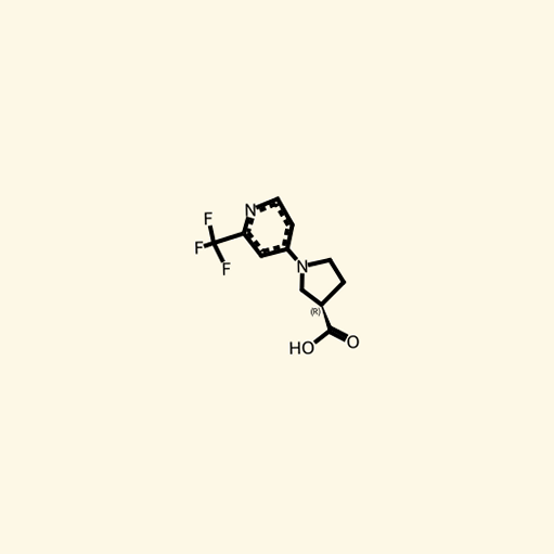 O=C(O)[C@@H]1CCN(c2ccnc(C(F)(F)F)c2)C1